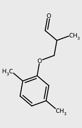 Cc1ccc(C)c(OCC(C)C=O)c1